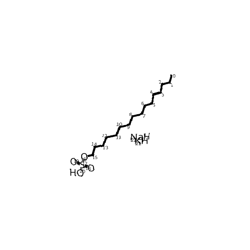 CCCCCCCCCCCCCCCCOS(=O)(=O)O.[KH].[NaH]